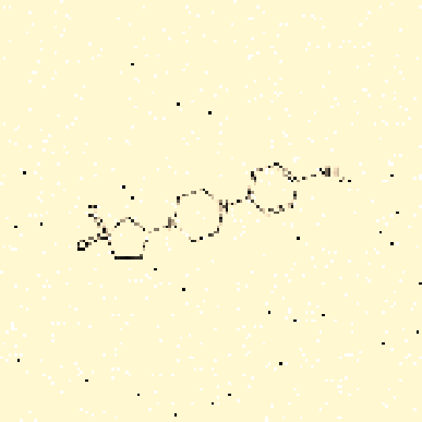 Nc1ccc(N2CCN(C3CCS(=O)(=O)C3)CC2)cc1